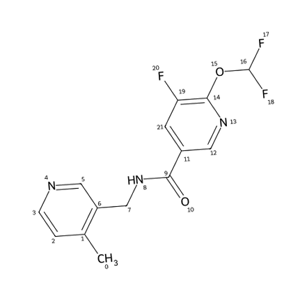 Cc1ccncc1CNC(=O)c1cnc(OC(F)F)c(F)c1